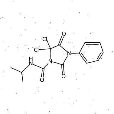 CC(C)NC(=O)N1C(=O)N(c2ccccc2)C(=O)C1(Cl)Cl